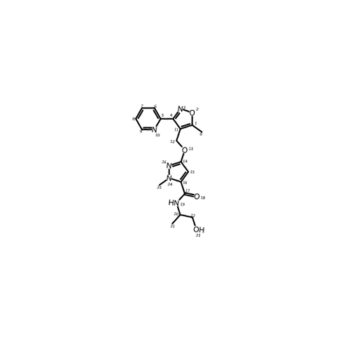 Cc1onc(-c2ccccn2)c1COc1cc(C(=O)NC(C)CO)n(C)n1